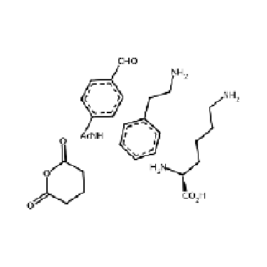 CC(=O)Nc1ccc(C=O)cc1.NCCCC[C@H](N)C(=O)O.NCCc1ccccc1.O=C1CCCC(=O)O1